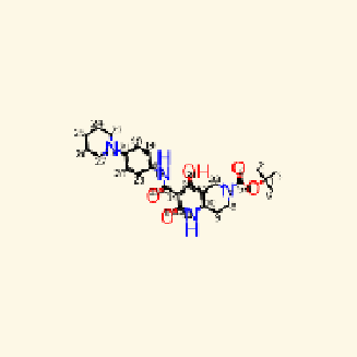 CC(C)(C)OC(=O)N1CCc2[nH]c(=O)c(C(=O)Nc3ccc(N4CCCCC4)cc3)c(O)c2C1